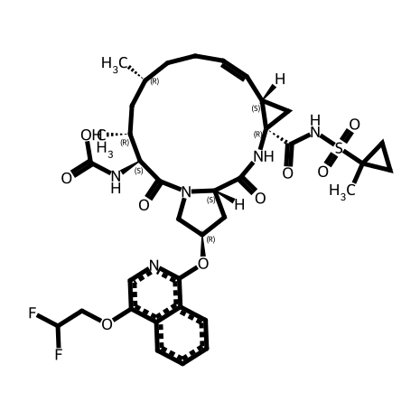 C[C@@H]1CCC=C[C@@H]2C[C@@]2(C(=O)NS(=O)(=O)C2(C)CC2)NC(=O)[C@@H]2C[C@@H](Oc3ncc(OCC(F)F)c4ccccc34)CN2C(=O)[C@@H](NC(=O)O)[C@H](C)C1